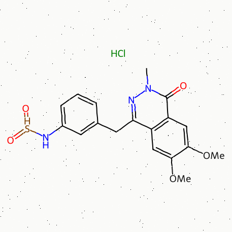 COc1cc2c(Cc3cccc(N[SH](=O)=O)c3)nn(C)c(=O)c2cc1OC.Cl